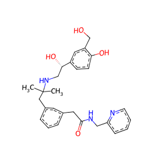 CC(C)(Cc1cccc(CC(=O)NCc2ccccn2)c1)NC[C@H](O)c1ccc(O)c(CO)c1